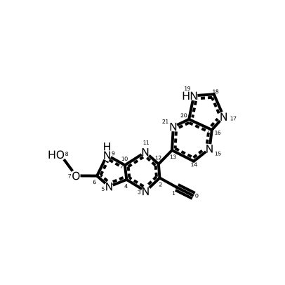 C#Cc1nc2nc(OO)[nH]c2nc1-c1cnc2nc[nH]c2n1